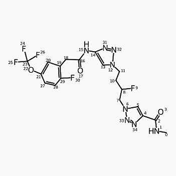 CNC(=O)c1cn(CC(F)CCn2cc(NC(=O)Cc3cc(OC(F)(F)F)ccc3F)nn2)nn1